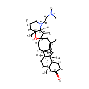 CC1=C2C[C@H]3[C@@H](CC[C@@H]4CC(=O)CC[C@@]43C)[C@@H]2CC[C@@]2(C1)O[C@@H]1C[C@H](C)CN(CCN(C)C)[C@H]1C2C